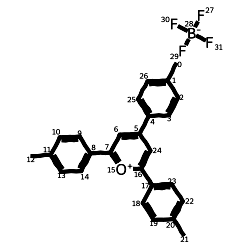 Cc1ccc(-c2cc(-c3ccc(C)cc3)[o+]c(-c3ccc(C)cc3)c2)cc1.F[B-](F)(F)F